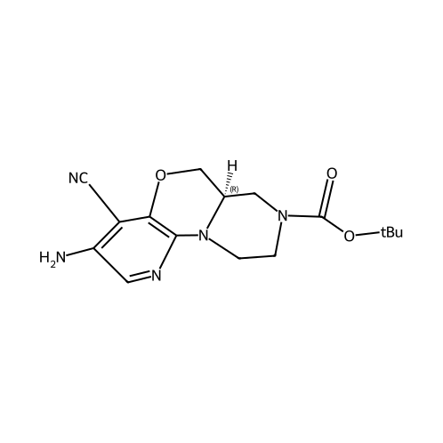 CC(C)(C)OC(=O)N1CCN2c3ncc(N)c(C#N)c3OC[C@H]2C1